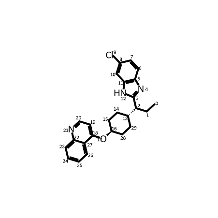 CCC(c1nc2ccc(Cl)cc2[nH]1)[C@H]1CC[C@H](Oc2ccnc3ccccc23)CC1